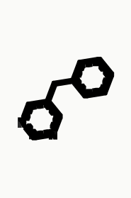 [c]1ncc(Cc2ccccc2)cn1